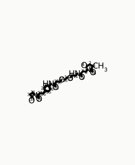 CC1CC(=O)N(CCC(=O)NCCOCCOCCC(=O)Nc2ccc(CCC(=O)N3CCC3=O)cc2)C1=O